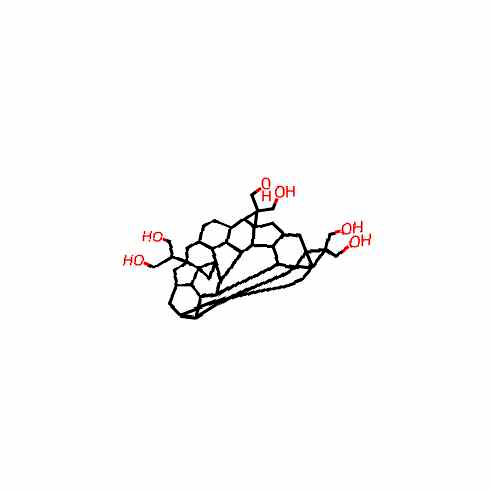 OCC(CO)C12CC3CCC4C5C6C7C8C(CC79C4C9(CO)CO)CC47C(CO)(CO)C49CC4CC(C1)C1C%10C(C6C6(CC126)C35)C8C79C4%10